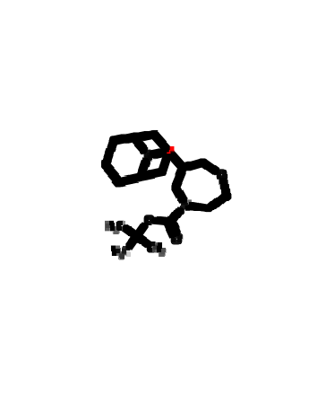 CC(C)(C)OC(=O)N1CCOCC(CB2C3CCCC2CCC3)C1